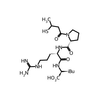 CC[C@H](C)[C@H](NC(=O)[C@H](CCCNC(=N)N)NC(=O)[C@H]1CCCN1C(=O)CC(C)S)C(=O)O